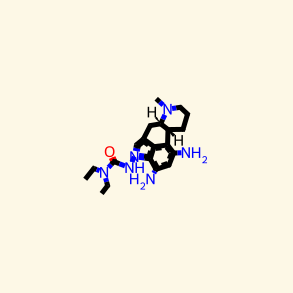 CCN(CC)C(=O)Nn1cc2c3c(c(N)cc(N)c31)[C@H]1CCCN(C)[C@@H]1C2